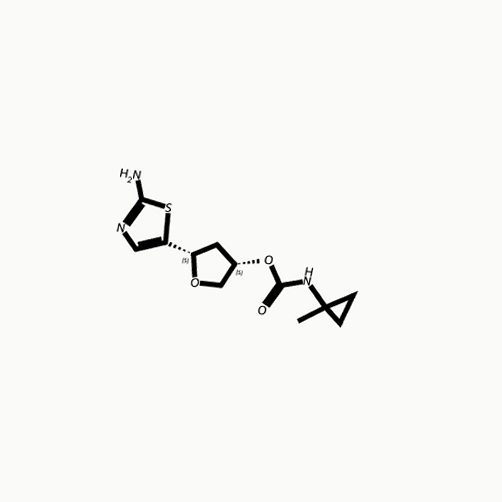 CC1(NC(=O)O[C@@H]2CO[C@H](c3cnc(N)s3)C2)CC1